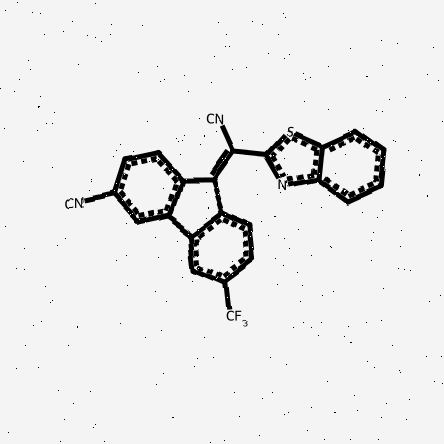 [C-]#[N+]/C(=C1\c2ccc([N+]#[C-])cc2-c2cc(C(F)(F)F)ccc21)c1nc2ccccc2s1